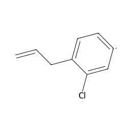 C=CCc1cc[c]cc1Cl